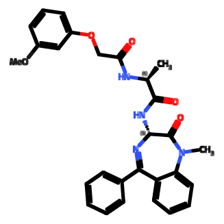 COc1cccc(OCC(=O)N[C@@H](C)C(=O)N[C@H]2N=C(c3ccccc3)c3ccccc3N(C)C2=O)c1